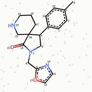 Cc1ccc(C2CN(Cc3ncco3)C(=O)C23CCCNC3)cc1